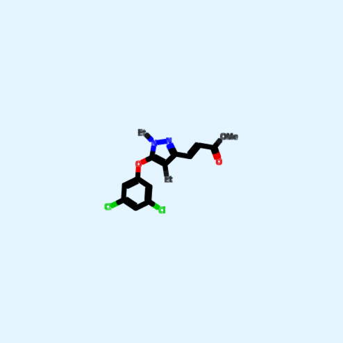 CCc1c(/C=C/C(=O)OC)nn(CC)c1Oc1cc(Cl)cc(Cl)c1